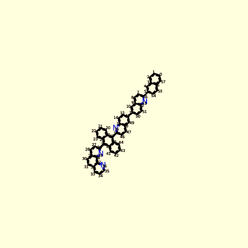 c1ccc2cc(-c3ccc4cc(-c5ccc6nc(-c7c8ccccc8c(-c8ccc9ccc%10cccnc%10c9n8)c8ccccc78)ccc6c5)ccc4n3)ccc2c1